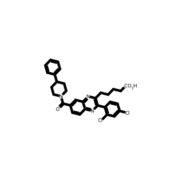 O=C(O)CCCCc1nc2cc(C(=O)N3CCC(c4ccccc4)CC3)ccc2nc1-c1ccc(Cl)cc1Cl